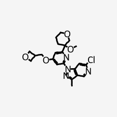 COC1(c2cc(OCC3COC3)cc(-n3nc(C)c4cnc(Cl)cc43)n2)CCCOC1